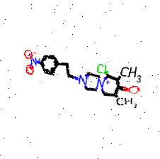 CC1C[N+]2(CCN(CCc3ccc([N+](=O)[O-])cc3)CC2)C(Cl)C(C)C1=O